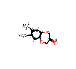 Cc1cc2c(cc1C)OCC(=O)CO2